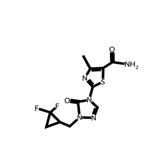 Cc1nc(-n2cnn(CC3CC3(F)F)c2=O)sc1C(N)=O